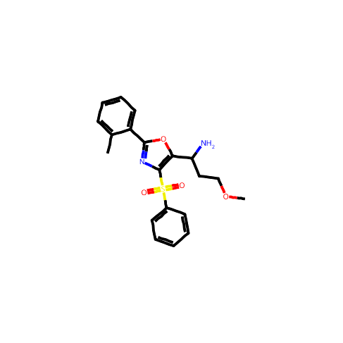 COCCC(N)c1oc(-c2ccccc2C)nc1S(=O)(=O)c1ccccc1